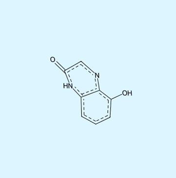 O=c1cnc2c(O)cccc2[nH]1